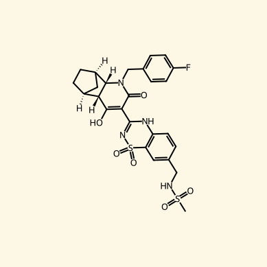 CS(=O)(=O)NCc1ccc2c(c1)S(=O)(=O)N=C(C1=C(O)[C@@H]3[C@H]4CC[C@H](C4)[C@@H]3N(Cc3ccc(F)cc3)C1=O)N2